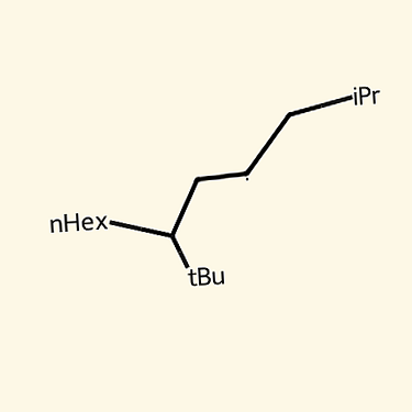 CCCCCCC(C[CH]CC(C)C)C(C)(C)C